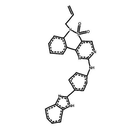 C=CCN1c2ccccc2-c2nc(Nc3ccc(-c4nc5ccccc5[nH]4)cc3)ncc2S1(=O)=O